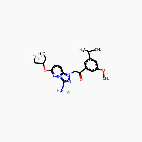 CCC(CC)Oc1ccc2n(n1)c(N)n[n+]2CC(=O)c1cc(OC)cc(C(C)C)c1.[Cl-]